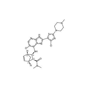 CN1CCN(c2nc(Cl)c(-c3nc4c(N[C@H]5[C@@H](C(=O)N(C)C)[C@@H]6C=C[C@H]5C6)c(Cl)cnc4[nH]3)s2)CC1